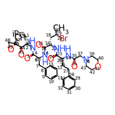 CC(C)C[C@H](NC(=O)[C@H](Cc1ccccc1)NC(=O)[C@H](CC(C)Br)NC(=O)[C@H](CCc1ccccc1)NC(=O)CN1CCOCC1)C(=O)[C@@]1(C)CO1